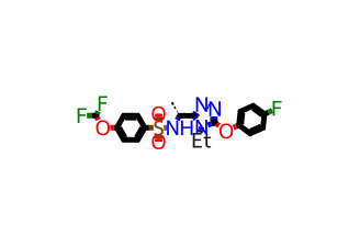 CCn1c(Oc2ccc(F)cc2)nnc1[C@@H](C)NS(=O)(=O)c1ccc(OC(F)F)cc1